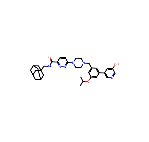 CC(C)Oc1cc(CN2CCN(c3ccc(C(=O)NCC45CC6CC(CC(C6)C4)C5)nn3)CC2)cc(-c2cncc(O)c2)c1